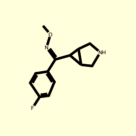 CON=C(c1ccc(F)cc1)C1C2CNCC21